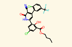 CCCCOC(=O)c1cc(Cl)cc(-c2cc(-c3cc(C(F)(F)F)ccc3Cl)c(C#N)c(=O)[nH]2)c1O